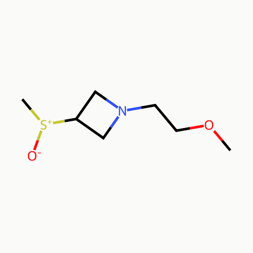 COCCN1CC([S+](C)[O-])C1